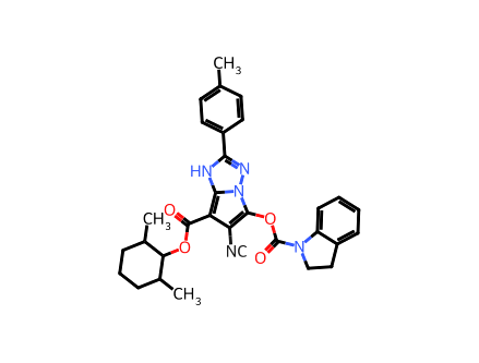 [C-]#[N+]c1c(C(=O)OC2C(C)CCCC2C)c2[nH]c(-c3ccc(C)cc3)nn2c1OC(=O)N1CCc2ccccc21